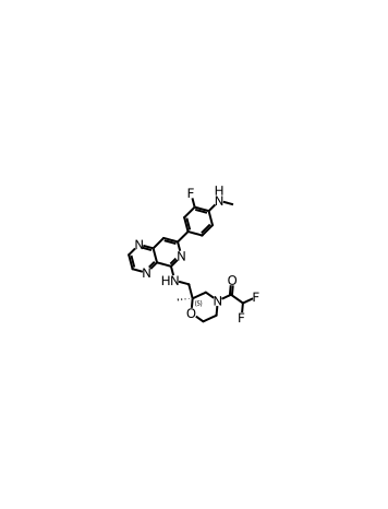 CNc1ccc(-c2cc3nccnc3c(NC[C@@]3(C)CN(C(=O)C(F)F)CCO3)n2)cc1F